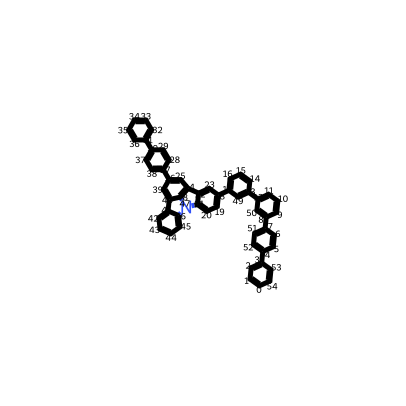 c1ccc(-c2ccc(-c3cccc(-c4cccc(-c5ccc6c(c5)c5cc(-c7ccc(-c8ccccc8)cc7)cc7c8ccccc8n6c75)c4)c3)cc2)cc1